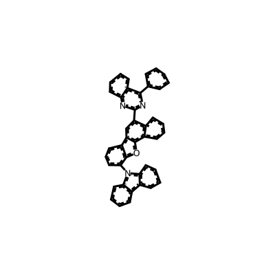 c1ccc(-c2nc(-c3cc4c5cccc(-n6c7ccccc7c7ccccc76)c5oc4c4ccccc34)nc3ccccc23)cc1